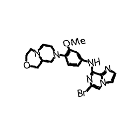 COc1cc(Nc2nc(Br)cn3ccnc23)ccc1N1CCN2CCOCC2C1